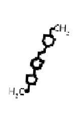 C=CC1CCC(c2ccc(C=CC3CCC(CC)CC3)cc2)CC1